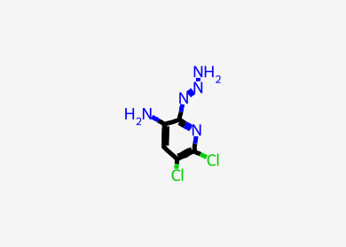 NN=Nc1nc(Cl)c(Cl)cc1N